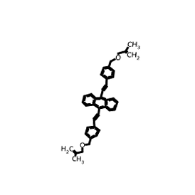 C=C(C)COCc1ccc(C#Cc2c3ccccc3c(C#Cc3ccc(COCC(=C)C)cc3)c3ccccc23)cc1